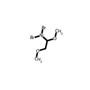 COC[CH](OC)[Ni]([Br])[Br]